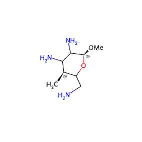 CO[C@H]1OC(CN)[C@@H](C)C(N)C1N